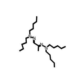 CCCCCN(CCCCC)N=CC(C)=NN(CCCCC)CCCCC